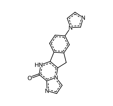 O=c1[nH]c2c(n3ccnc13)Cc1cc(-n3ccnc3)ccc1-2